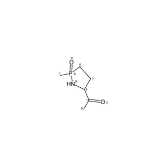 CC(=O)C1CCP(C)(=O)N1